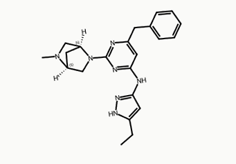 CCc1cc(Nc2cc(Cc3ccccc3)nc(N3C[C@@H]4C[C@H]3CN4C)n2)n[nH]1